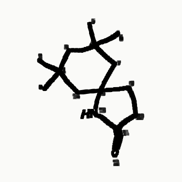 CC1(C)CC(C)(C)CC2(CCC(=O)N2)C1